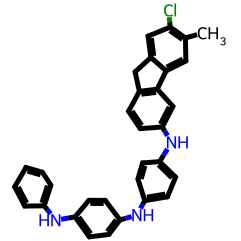 Cc1cc2c(cc1Cl)Cc1ccc(Nc3ccc(Nc4ccc(Nc5ccccc5)cc4)cc3)cc1-2